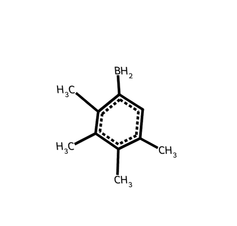 Bc1cc(C)c(C)c(C)c1C